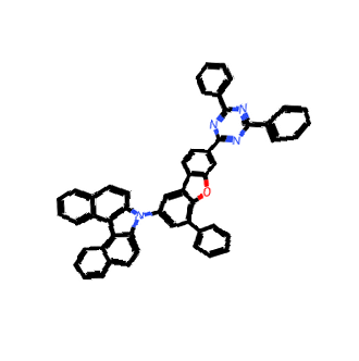 c1ccc(-c2nc(-c3ccccc3)nc(-c3ccc4c(c3)oc3c(-c5ccccc5)cc(-n5c6ccc7ccccc7c6c6c7ccccc7ccc65)cc34)n2)cc1